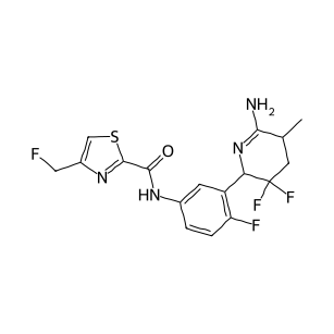 CC1CC(F)(F)C(c2cc(NC(=O)c3nc(CF)cs3)ccc2F)N=C1N